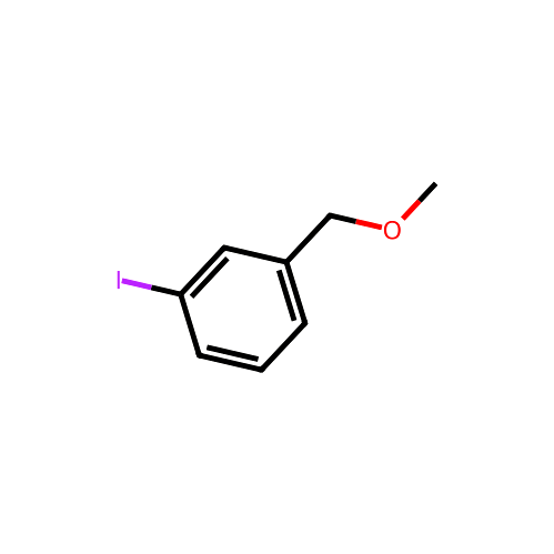 COCc1cccc(I)c1